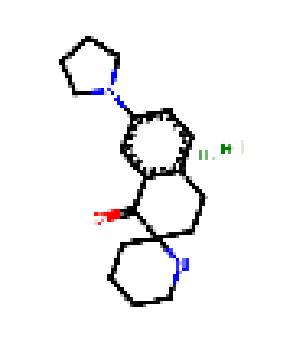 Cl.Cl.O=C1c2cc(N3CCCC3)ccc2CCC12CCCCN2